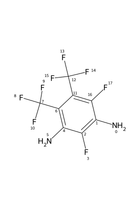 Nc1c(F)c(N)c(C(F)(F)F)c(C(F)(F)F)c1F